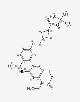 CCN1C(=O)OCc2cnc(N[C@@H](C)c3ccc(OCC4CN(C(=O)OC(C)(C)C)C4)cc3)nc21